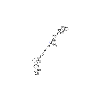 CC1CCCN1C(=O)C(NC(=O)CCNCCN/C=C(\N)COCCOCCOCCNC(=O)C1(Cc2cccc(Nc3nccs3)n2)CCCCC1)C(C)(C)C